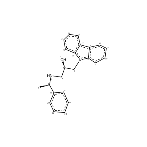 C[C@@H](NC[C@@H](O)Cn1c2ccccc2c2ccccc21)c1ccccc1